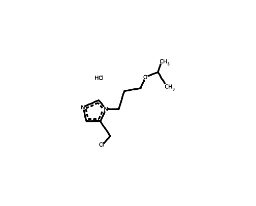 CC(C)OCCCn1cncc1CCl.Cl